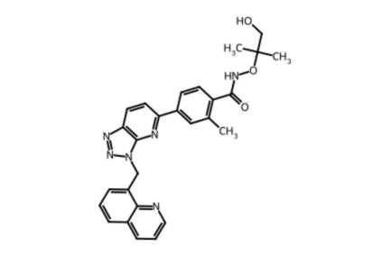 Cc1cc(-c2ccc3nnn(Cc4cccc5cccnc45)c3n2)ccc1C(=O)NOC(C)(C)CO